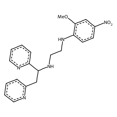 COc1cc([N+](=O)[O-])ccc1NCCNC(Cc1ccccn1)c1ccccn1